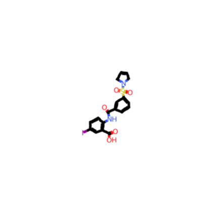 O=C(Nc1ccc(I)cc1C(=O)O)c1cccc(S(=O)(=O)N2CC=CC2)c1